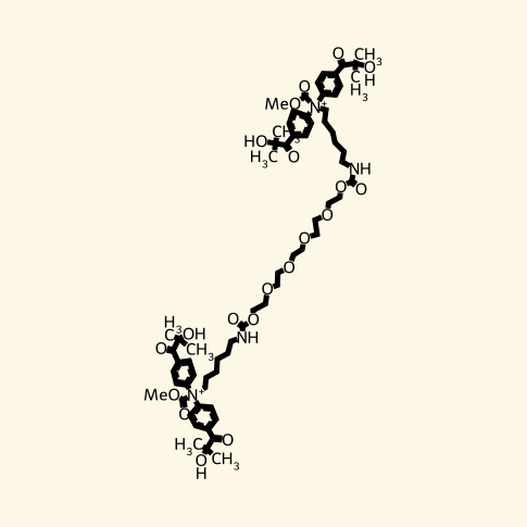 COC(=O)[N+](CCCCCCNC(=O)OCCOCCOCCOCCOCCOC(=O)NCCCCCC[N+](C(=O)OC)(c1ccc(C(=O)C(C)(C)O)cc1)c1ccc(C(=O)C(C)(C)O)cc1)(c1ccc(C(=O)C(C)(C)O)cc1)c1ccc(C(=O)C(C)(C)O)cc1